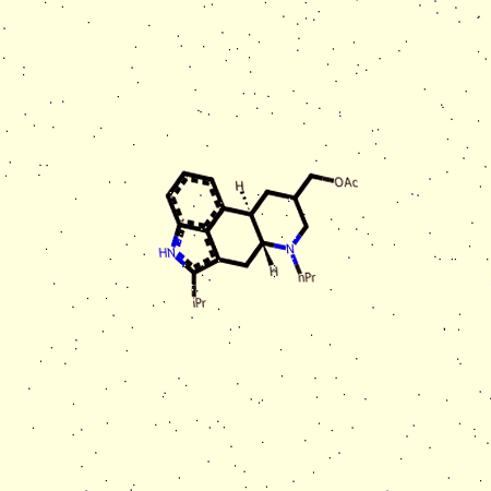 CCCN1CC(COC(C)=O)C[C@@H]2c3cccc4[nH]c(C(C)C)c(c34)C[C@H]21